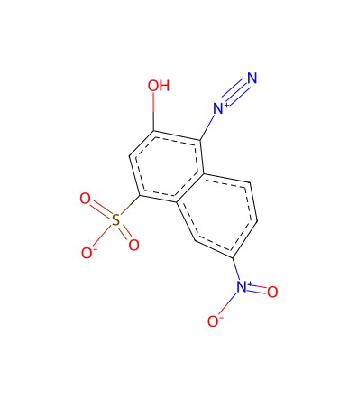 N#[N+]c1c(O)cc(S(=O)(=O)[O-])c2cc([N+](=O)[O-])ccc12